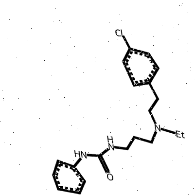 CCN(CCCNC(=O)Nc1ccccc1)CCc1ccc(Cl)cc1